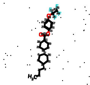 CCCC[C@H]1CC[C@H](C2CCC(C(=O)Oc3ccc(OC(F)(F)C(F)F)cc3)CC2)CC1